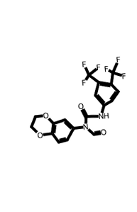 O=CN(C(=O)Nc1ccc(C(F)(F)F)c(C(F)(F)F)c1)c1ccc2c(c1)OCCO2